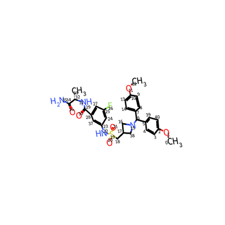 COc1ccc(C(c2ccc(OC)cc2)N2CC(CS(=O)(=O)Nc3cc(F)cc(C(=O)N[C@@H](C)C(N)=O)c3)C2)cc1